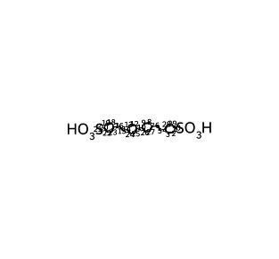 O=S(=O)(O)c1ccc(C=Cc2ccc(-c3ccc(C=Cc4ccc(S(=O)(=O)O)cc4)cc3)cc2)cc1